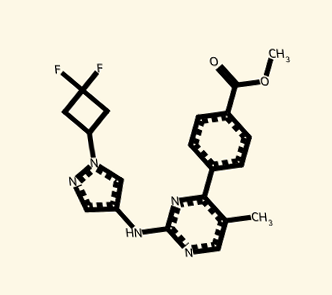 COC(=O)c1ccc(-c2nc(Nc3cnn(C4CC(F)(F)C4)c3)ncc2C)cc1